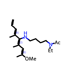 C=C/C=C(C)/C(NCCCCN(CC)C(C)=O)=C(C)/C=C(\C)OC